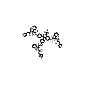 C[C@](NC(=O)Cc1ccsc1)(C(=O)Nc1ccc(C(OC(=O)C(F)(F)F)(c2ccc(NC(=O)[C@](C)(NC(=O)Cc3ccsc3)c3ccccn3)cc2)c2ccc(NC(=O)[C@](C)(NC(=O)Cc3ccsc3)c3ccccn3)cc2)cc1)c1ccccn1